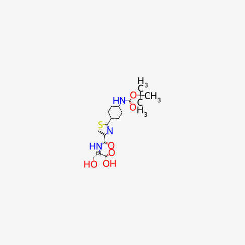 CC(C)(C)OC(=O)NC1CCC(c2nc(C(=O)N[C@@H](CO)C(=O)O)cs2)CC1